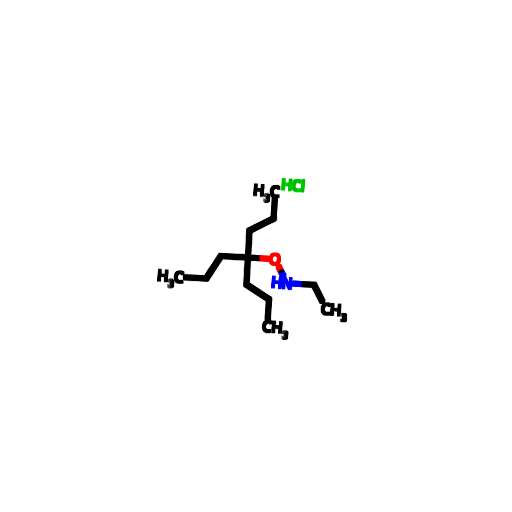 CCCC(CCC)(CCC)ONCC.Cl